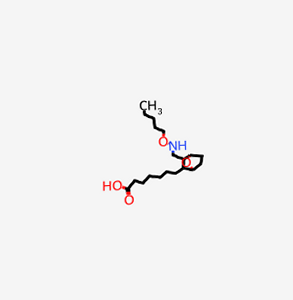 CCCCCONCC1C2CCC(O2)C1CCCCCCC(=O)O